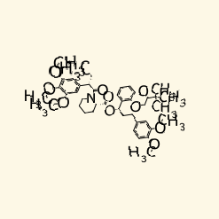 CC[C@H](C(=O)N1CCCC[C@H]1C(=O)O[C@H](CCc1ccc(OC)c(OC)c1)c1ccccc1OCC(=O)C(C)(C)C)c1cc(OC)c(OC)c(OC)c1